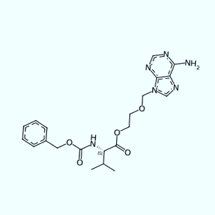 CC(C)[C@H](NC(=O)OCc1ccccc1)C(=O)OCCOCn1cnc2c(N)ncnc21